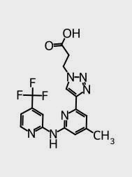 Cc1cc(Nc2cc(C(F)(F)F)ccn2)nc(-c2cn(CCC(=O)O)nn2)c1